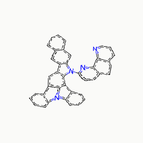 c1ccc2cc3c(cc2c1)c1cc2c4ccccc4n4c5ccccc5c(c1n3-c1ccc3ccc5cccnc5c3n1)c24